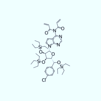 C=CC(=O)N(C(=O)C=C)c1ncnc2c1ccn2[C@@H]1O[C@H](C(O[Si](CC)(CC)CC)c2ccc(Cl)cc2)[C@@H](O[Si](CC)(CC)CC)[C@H]1O[Si](CC)(CC)CC